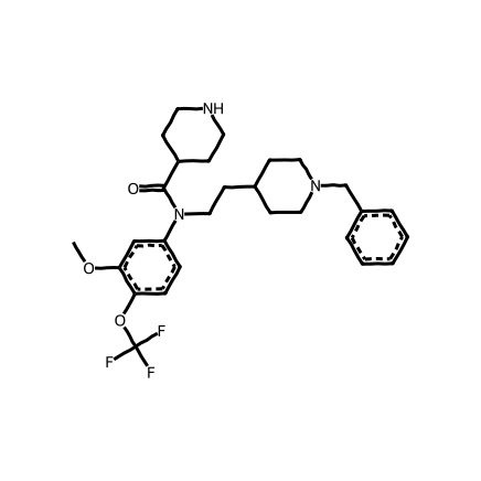 COc1cc(N(CCC2CCN(Cc3ccccc3)CC2)C(=O)C2CCNCC2)ccc1OC(F)(F)F